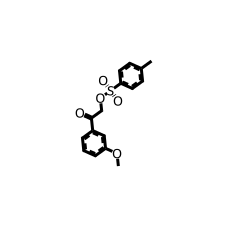 COc1cccc(C(=O)COS(=O)(=O)c2ccc(C)cc2)c1